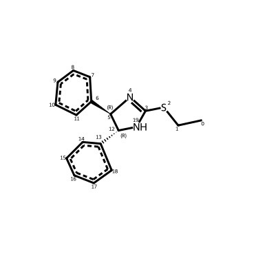 CCSC1=N[C@H](c2ccccc2)[C@@H](c2ccccc2)N1